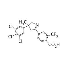 CC1(c2cc(Cl)c(Cl)c(Cl)c2)CN=C(c2ccc(C(=O)O)c(C(F)(F)F)c2)C1